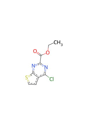 CCOC(=O)c1nc(Cl)c2ccsc2n1